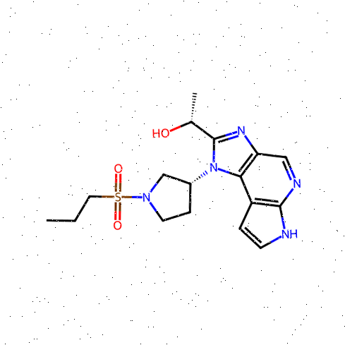 CCCS(=O)(=O)N1CC[C@@H](n2c([C@@H](C)O)nc3cnc4[nH]ccc4c32)C1